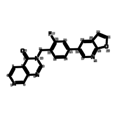 O=c1c2ccncc2ncn1Cc1ccc(-c2cnc3occc3c2)cc1F